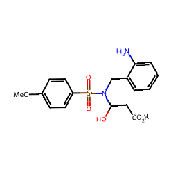 COc1ccc(S(=O)(=O)N(Cc2ccccc2N)C(O)CC(=O)O)cc1